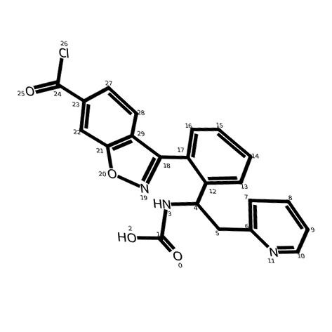 O=C(O)NC(Cc1ccccn1)c1ccccc1-c1noc2cc(C(=O)Cl)ccc12